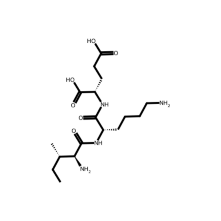 CC[C@H](C)[C@H](N)C(=O)N[C@@H](CCCCN)C(=O)N[C@@H](CCC(=O)O)C(=O)O